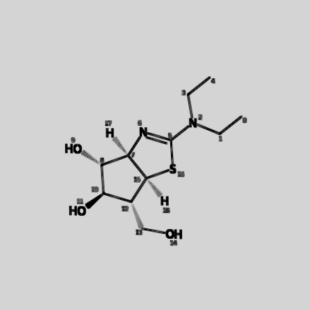 CCN(CC)C1=N[C@@H]2[C@@H](O)[C@H](O)[C@@H](CO)[C@@H]2S1